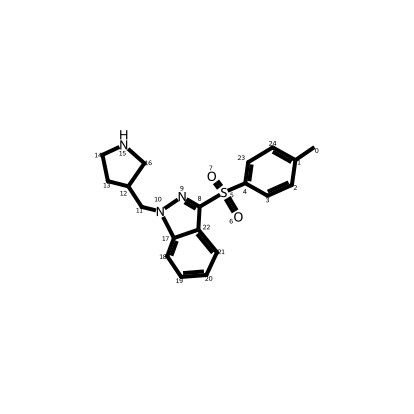 Cc1ccc(S(=O)(=O)c2nn(CC3CCNC3)c3ccccc23)cc1